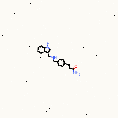 NC(=O)/C=C/c1ccc(CNCc2c[nH]c3ccccc23)cc1